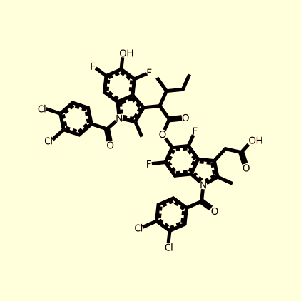 CCC(C)C(C(=O)Oc1c(F)cc2c(c1F)c(CC(=O)O)c(C)n2C(=O)c1ccc(Cl)c(Cl)c1)c1c(C)n(C(=O)c2ccc(Cl)c(Cl)c2)c2cc(F)c(O)c(F)c12